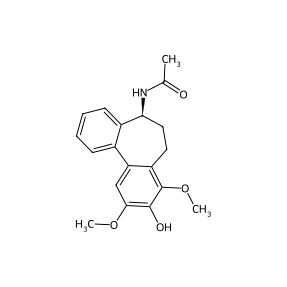 COc1cc2c(c(OC)c1O)CC[C@H](NC(C)=O)c1ccccc1-2